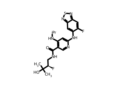 CC(C)Nc1cc(Nc2cc3nsnc3cc2F)ncc1C(=O)NC[C@@H](F)C(C)(C)O